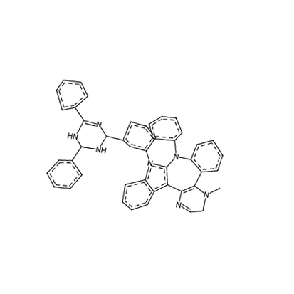 CN1CC=NC2=C1c1ccccc1N(c1ccccc1)c1c2c2ccccc2n1-c1cccc(C2N=C(c3ccccc3)NC(c3ccccc3)N2)c1